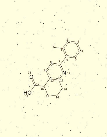 Cc1ccccc1-c1ccc2c(n1)CCCC2C(=O)O